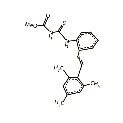 COC(=O)NC(=S)Nc1ccccc1/N=C/c1c(C)cc(C)cc1C